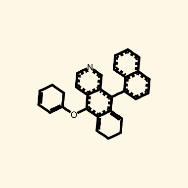 C1=CCCC(Oc2c3c(c(-c4cccc5ccccc45)c4cnccc24)=CCCC=3)=C1